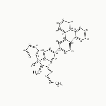 C=C(/C=C\C=C/C)P(=O)(c1ccccc1)c1ccc(-c2ccc3c4ccccc4c4cccnc4c3n2)cc1